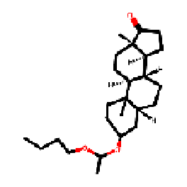 CCCCOC(C)O[C@H]1CC[C@@]2(C)[C@H](CC[C@@H]3[C@@H]2CC[C@]2(C)C(=O)CC[C@@H]32)C1